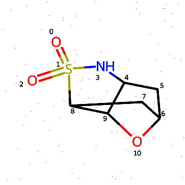 O=S1(=O)NC2CC3CC1C2O3